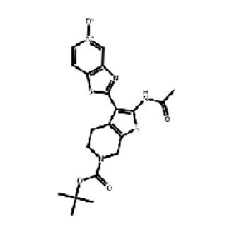 CC(=O)Nc1sc2c(c1-c1nc3c[n+]([O-])ccc3s1)CCN(C(=O)OC(C)(C)C)C2